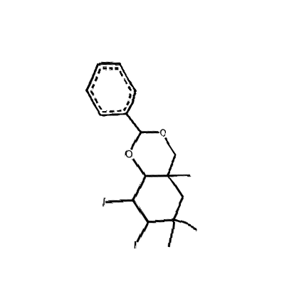 CC1(C)CC2(C)COC(c3ccccc3)OC2C(I)C1I